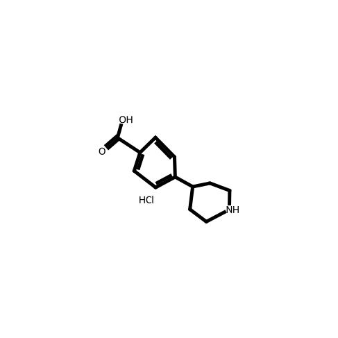 Cl.O=C(O)c1ccc(C2CCNCC2)cc1